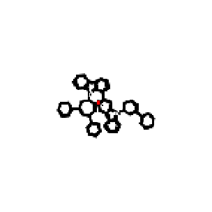 CC[C@H]1CC(c2ccccc2)C=C(C2=CC=CCC2)CC1n1c2c(c3cccc(-c4ccc5c6ccccc6n(C6C=C(C7=CCCCC7)C=CC6)c5c4)c31)CCC=C2